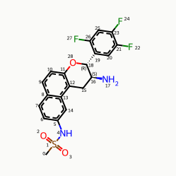 CS(=O)(=O)Nc1ccc2ccc3c(c2c1)C[C@H](N)[C@@H](c1cc(F)c(F)cc1F)O3